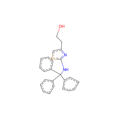 OCCc1csc(NC(c2ccccc2)(c2ccccc2)c2ccccc2)n1